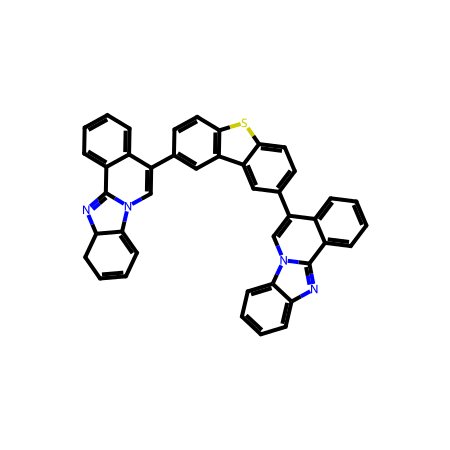 C1=CCC2N=C3c4ccccc4C(c4ccc5sc6ccc(-c7cn8c9ccccc9nc8c8ccccc78)cc6c5c4)=CN3C2=C1